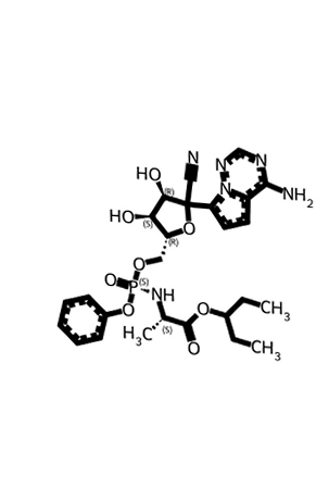 CCC(CC)OC(=O)[C@H](C)N[P@](=O)(OC[C@H]1OC(C#N)(c2ccc3c(N)ncnn23)[C@H](O)[C@@H]1O)Oc1ccccc1